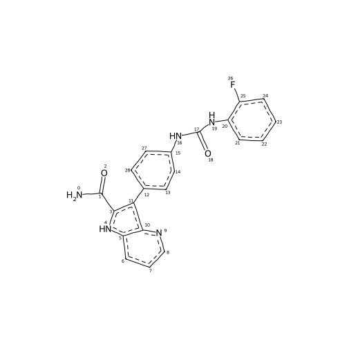 NC(=O)c1[nH]c2cccnc2c1-c1ccc(NC(=O)Nc2ccccc2F)cc1